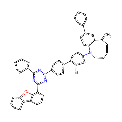 C=C1/C=C\C=C/N(c2ccc(-c3ccc(-c4nc(-c5ccccc5)nc(-c5cccc6c5oc5ccccc56)n4)cc3)c(CC)c2)c2ccc(-c3ccccc3)cc21